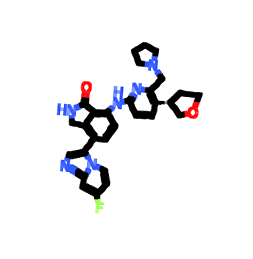 O=C1NCc2c(-c3cnc4cc(F)ccn34)ccc(Nc3ccc([C@@H]4CCOC4)c(CN4CCCC4)n3)c21